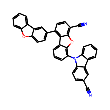 N#Cc1ccc2c(c1)c1ccccc1n2-c1cccc2c1oc1c(C#N)ccc(-c3ccc4oc5ccccc5c4c3)c12